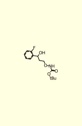 CC(C)(C)OC(=O)NOCCC(O)c1ccccc1F